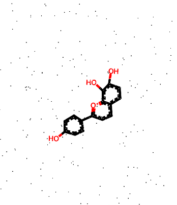 Oc1ccc(-c2ccc3ccc(O)c(O)c3[o+]2)cc1